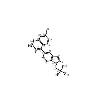 O/N=C(/c1ccc2c(cnn2CC(F)(F)F)c1)c1ccc(F)cc1F